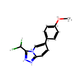 FC(F)c1nnc2ccc(-c3ccc(OC(F)(F)F)cc3)cn12